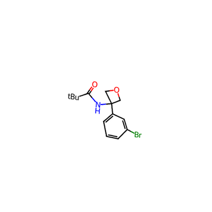 CC(C)(C)C(=O)NC1(c2cccc(Br)c2)COC1